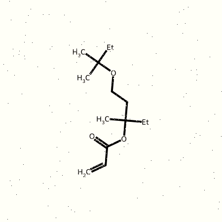 C=CC(=O)OC(C)(CC)CCOC(C)(C)CC